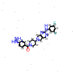 NNc1ccc(C(=O)N2CCC(N3Cc4cnc(Nc5cc(F)cc(F)c5)nc4C3)CC2)cc1